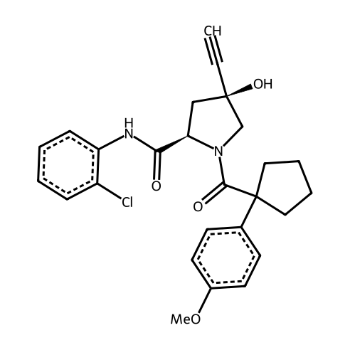 C#C[C@@]1(O)C[C@H](C(=O)Nc2ccccc2Cl)N(C(=O)C2(c3ccc(OC)cc3)CCCC2)C1